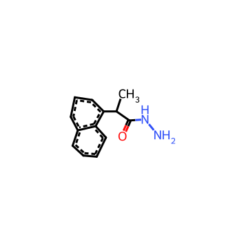 CC(C(=O)NN)c1cccc2ccccc12